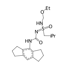 CCOCNS(=O)(CC(C)C)=NC(=O)Nc1c2c(cc3c1CCC3)CCC2